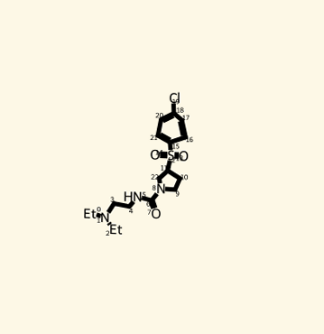 CCN(CC)CCNC(=O)N1CCC(S(=O)(=O)c2ccc(Cl)cc2)C1